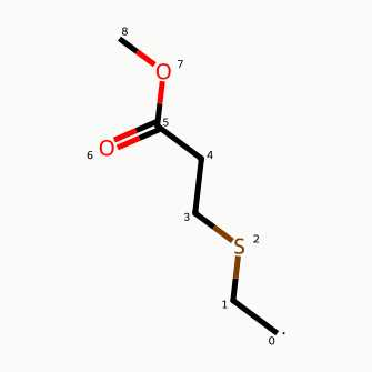 [CH2]CSCCC(=O)OC